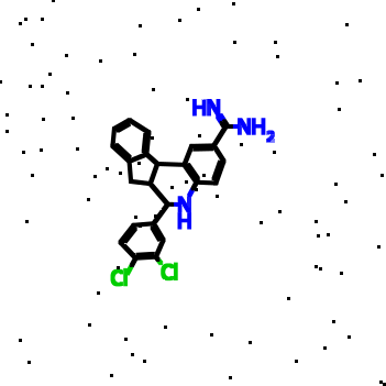 N=C(N)c1ccc2c(c1)C1c3ccccc3CC1C(c1ccc(Cl)c(Cl)c1)N2